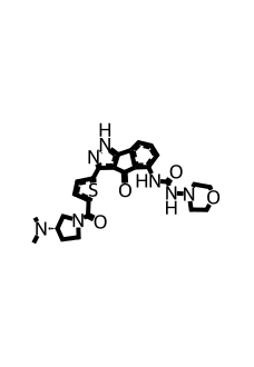 CN(C)[C@H]1CCN(C(=O)c2ccc(-c3n[nH]c4c3C(=O)c3c(NC(=O)NN5CCOCC5)cccc3-4)s2)C1